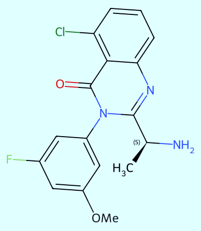 COc1cc(F)cc(-n2c([C@H](C)N)nc3cccc(Cl)c3c2=O)c1